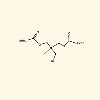 CCCCCCCC(=O)OCC(C)(CO)COC(=O)CCCCCCC